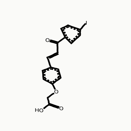 O=C(O)COc1ccc(C=CC(=O)c2ccc(I)cc2)cc1